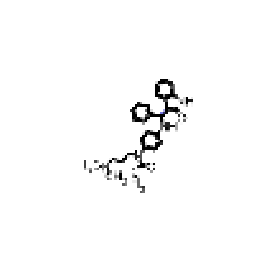 CC(=O)N(CCCN(C)C)c1ccc(N/C(=C2\C(=O)Nc3ccccc32)c2ccccc2)cc1